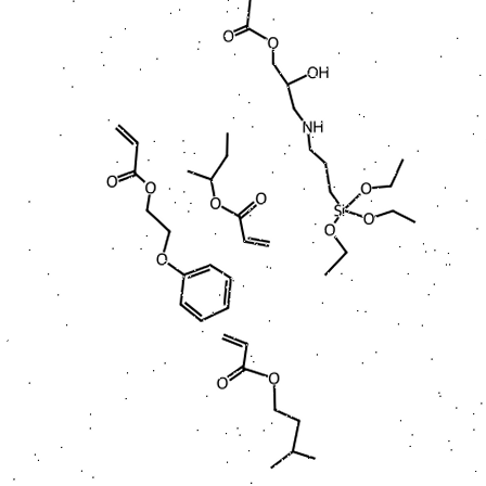 C=CC(=O)OC(C)CC.C=CC(=O)OCC(O)CNCCC[Si](OCC)(OCC)OCC.C=CC(=O)OCCC(C)C.C=CC(=O)OCCOc1ccccc1